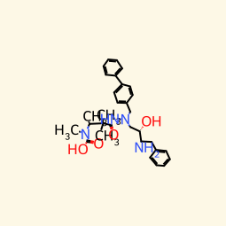 C[C@H](N(C)C(=O)O)C(C)(C)C(=O)NN(Cc1ccc(-c2ccccc2)cc1)C[C@H](O)[C@@H](N)Cc1ccccc1